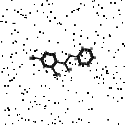 Cc1cc(O)ccc1C(S)Cc1ccccc1